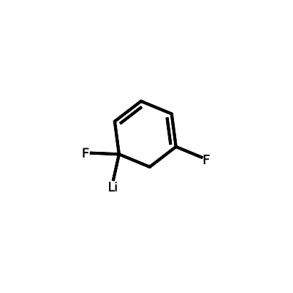 [Li][C]1(F)C=CC=C(F)C1